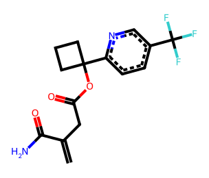 C=C(CC(=O)OC1(c2ccc(C(F)(F)F)cn2)CCC1)C(N)=O